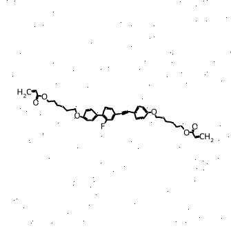 C=CC(=O)OCCCCCCOc1ccc(C#Cc2ccc(-c3ccc(OCCCCCCOC(=O)C=C)cc3)c(F)c2)cc1